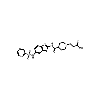 O=C(O)CCN1CCC(C(=O)Nc2nc3ccc(NS(=O)(=O)c4cnccn4)cc3s2)CC1